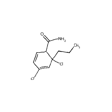 CCCC1(Cl)C=C(Cl)C=CC1C(N)=O